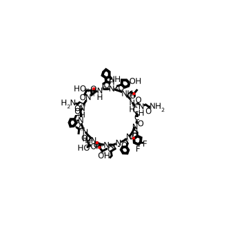 CCCC[C@H]1C(=O)N2C[C@H](O)C[C@@H]2C(=O)N[C@@H](CC(=O)O)C(=O)N[C@@H](C(C)C)C(=O)N(C)[C@@H](Cc2ccccc2)C(=O)N[C@@H](CC(N)=O)C(=O)N2C[C@H](O)C[C@@H]2C(=O)N[C@@H](Cc2c[nH]c3ccccc23)C(=O)N[C@@H](Cc2ccc(O)cc2)C(=O)N[C@@H](CC(C)C)C(=O)N[C@H](C(=O)NCC(N)=O)CSCC(=O)N[C@@H](Cc2ccc(F)c(F)c2)C(=O)N(C)[C@@H](Cc2ccccc2)C(=O)N1C